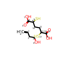 C=CCCO.O=C(O)C(S)CCC(S)C(=O)O